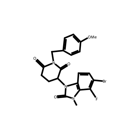 COc1ccc(CN2C(=O)CCC(n3c(=O)n(C)c4c(F)c(Br)ccc43)C2=O)cc1